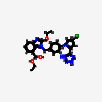 CCOC(=O)c1cccc2nc(OCC)n(Cc3ccc(-n4cc(Cl)cc4-c4nnn[nH]4)cc3)c12